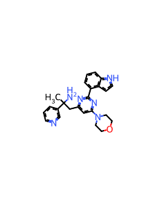 CC(N)(Cc1cc(N2CCOCC2)nc(-c2cccc3[nH]ccc23)n1)c1cccnc1